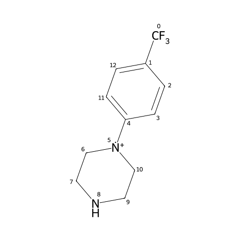 FC(F)(F)c1ccc([N+]2CCNCC2)cc1